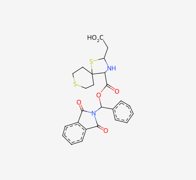 O=C(O)CC1NC(C(=O)OC(c2ccccc2)N2C(=O)c3ccccc3C2=O)C2(CCSCC2)S1